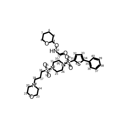 O=C(NOC1CCCCO1)[C@H]1CN(S(=O)(=O)CCCN2CCOCC2)CCN1S(=O)(=O)c1ccc(-c2ccccc2)s1